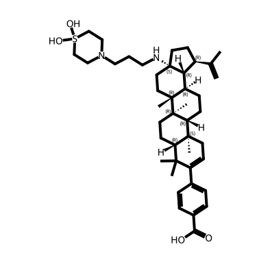 C=C(C)[C@@H]1CC[C@]2(NCCCN3CCS(O)(O)CC3)CC[C@]3(C)[C@H](CC[C@@H]4[C@@]5(C)CC=C(c6ccc(C(=O)O)cc6)C(C)(C)[C@@H]5CC[C@]43C)[C@@H]12